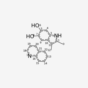 Cc1[nH]c2cc(O)c(O)cc2c1C.c1ccc2ncccc2c1